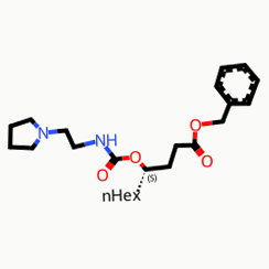 CCCCCC[C@@H](CCC(=O)OCc1ccccc1)OC(=O)NCCN1CCCC1